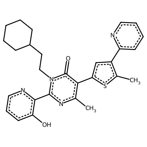 Cc1nc(-c2ncccc2O)n(CCC2CCCCC2)c(=O)c1-c1cc(-c2ccccn2)c(C)s1